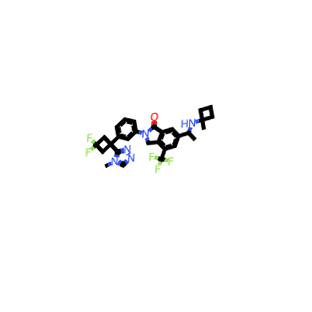 CC(NC1(C)CCC1)c1cc2c(c(C(F)(F)F)c1)CN(c1cccc(C3(c4nncn4C)CC(F)(F)C3)c1)C2=O